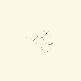 CCCC(C)(CC(N1CCCC1=O)C(C)(CCC)C(C)C)SC